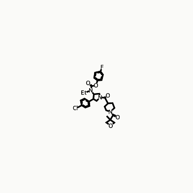 CCN(C(=O)Oc1ccc(F)cc1)C1CN(C(=O)C2CCN(C(=O)C3(C)COC3)CC2)CC1c1ccc(Cl)cc1